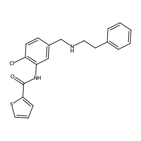 O=C(Nc1cc(CNCCc2ccccc2)ccc1Cl)c1cccs1